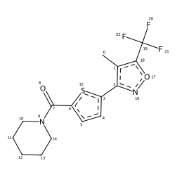 Cc1c(-c2ccc(C(=O)N3CCCCC3)s2)noc1C(F)(F)F